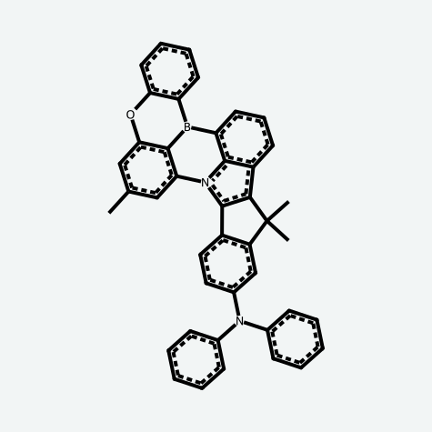 Cc1cc2c3c(c1)-n1c4c(c5cccc(c51)B3c1ccccc1O2)C(C)(C)c1cc(N(c2ccccc2)c2ccccc2)ccc1-4